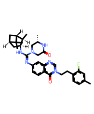 Cc1ccc(CCn2cnc3cc(N=C(N[C@H]4C[C@H]5C[C@H]([C@H]4C)C5(C)C)N4CC(=O)N[C@@H](C)C4)ccc3c2=O)c(F)c1